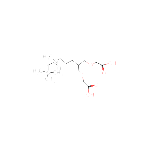 C[Si](C)(C)C[Si](C)(C)CCCC(COCC(=O)O)COCC(=O)O